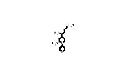 NC(CCCC(=O)O)C1CCN(c2ccncc2)[C@H](N)C1